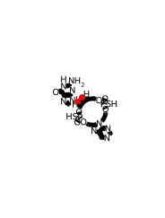 Nc1nc2c(ncn2[C@@H]2O[C@@H]3CO[P@@](=O)(S)OCCn4c(nc5cncnc54)CO[P@@](=O)(S)O[C@@H]2[C@@H]3F)c(=O)[nH]1